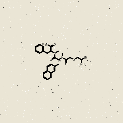 CCC(N)COCC(=O)N(C)[C@H](Cc1ccc2ccccc2c1)C(=O)N(C)C(Cc1ccccc1)C(=O)NC